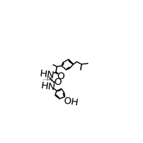 CC(C)Cc1ccc(C(C)C(=O)N[C@@H](C)C(=O)Nc2ccc(O)cc2)cc1